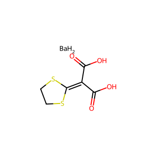 O=C(O)C(C(=O)O)=C1SCCS1.[BaH2]